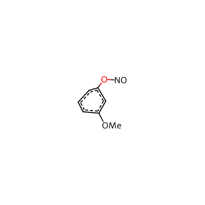 COc1cccc(ON=O)c1